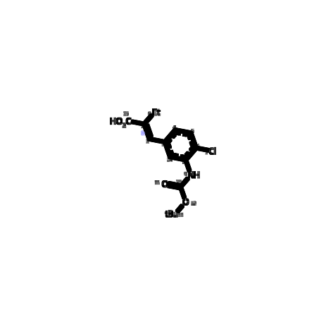 CC/C(=C\c1ccc(Cl)c(NC(=O)OC(C)(C)C)c1)C(=O)O